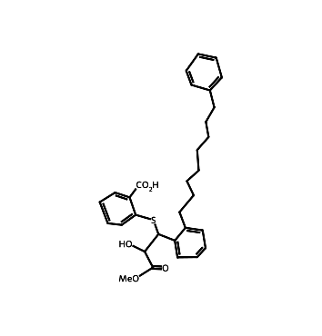 COC(=O)C(O)C(Sc1ccccc1C(=O)O)c1ccccc1CCCCCCCCc1ccccc1